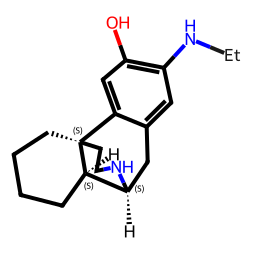 CCNc1cc2c(cc1O)[C@]13CCCC[C@@H]1[C@H](C2)NCC3